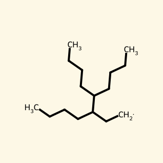 [CH2]CC(CCCC)C(CCCC)CCCC